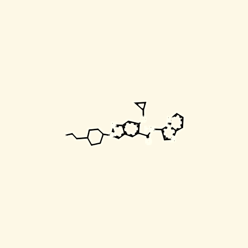 O=C(Nc1cnc2cccnn12)c1cc2cn(C3CCC(CCI)CC3)nc2cc1OC1CC1